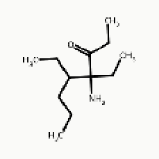 CCCC(CC)C(N)(CC)C(=O)CC